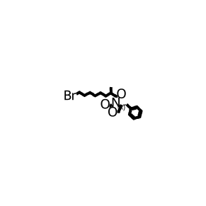 CC(CCCCCCBr)C(=O)N1C(=O)OC[C@H]1Cc1ccccc1